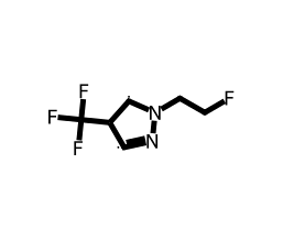 FCCN1[CH]C(C(F)(F)F)[C]=N1